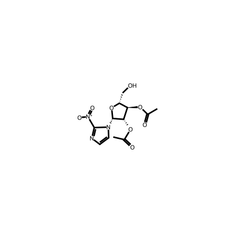 CC(=O)O[C@H]1[C@H](OC(C)=O)[C@@H](CO)O[C@H]1n1ccnc1[N+](=O)[O-]